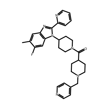 Cc1cc2nc(-c3ccccn3)n(C3CCN(C(=O)C4CCN(Cc5ccncc5)CC4)CC3)c2cc1F